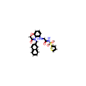 O=C(CNc1cccc2c1N(Cc1ccc3ccccc3c1)C(=O)CO2)NS(=O)(=O)c1cccs1